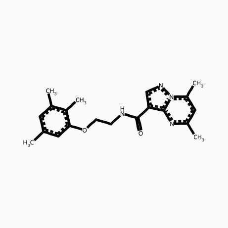 Cc1cc(C)c(C)c(OCCNC(=O)c2cnn3c(C)cc(C)nc23)c1